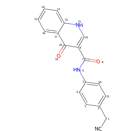 N#CCc1ccc(NC(=O)c2c[nH]c3ccccc3c2=O)cc1